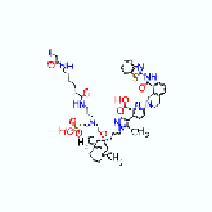 Cc1c(-c2ccc(N3CCc4cccc(C(=O)Nc5nc6ccccc6s5)c4C3)nc2C(=O)O)cnn1CCCC1(OCCN(CCCNC(=O)CCCCCNC(=O)CI)CCS(=O)(=O)O)CC2(C)CCCC(C)(C2)C1